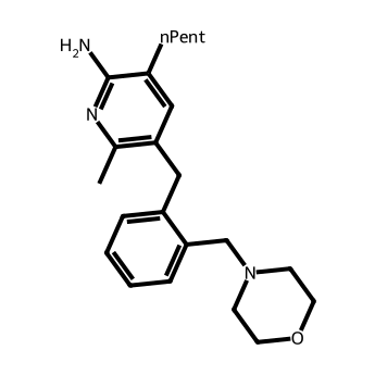 CCCCCc1cc(Cc2ccccc2CN2CCOCC2)c(C)nc1N